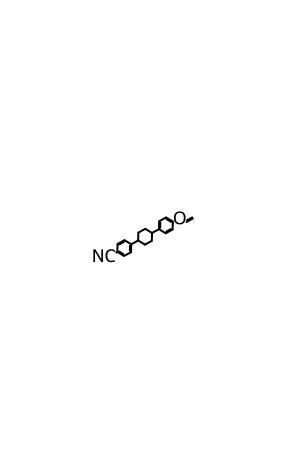 C=COc1ccc(C2CCC(c3ccc(C#N)cc3)CC2)cc1